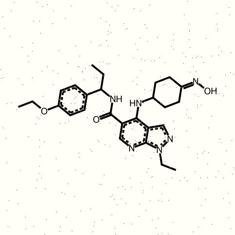 CCOc1ccc(C(CC)NC(=O)c2cnc3c(cnn3CC)c2NC2CCC(=NO)CC2)cc1